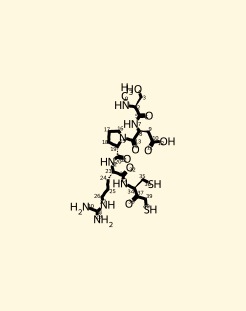 CN[C@@H](CO)C(=O)N[C@@H](CC(=O)O)C(=O)N1CCC[C@H]1C(=O)N[C@@H](CCCNC(N)N)C(=O)N[C@@H](CS)C(=O)CS